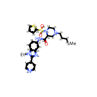 CCn1c(-c2ccncc2)nc2cc(NC(=O)C3CN(CCCSC)CCN3S(=O)(=O)c3cccs3)ccc21